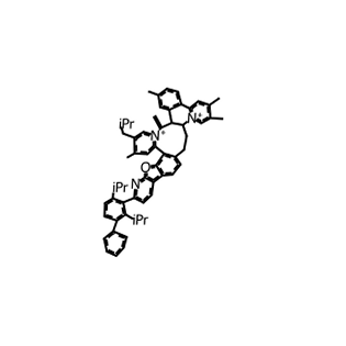 C=C1C2c3cc(C)ccc3-c3cc(C)c(C)c[n+]3C2CCc2ccc3c(oc4nc(-c5c(C(C)C)ccc(-c6ccccc6)c5C(C)C)ccc43)c2-c2cc(C)c(CC(C)C)c[n+]21